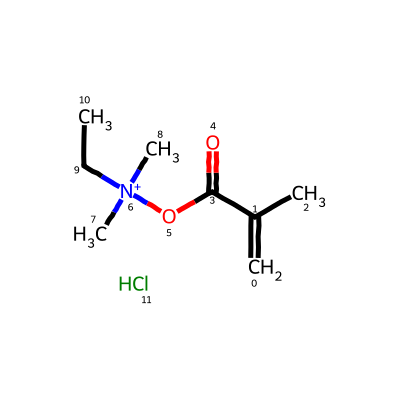 C=C(C)C(=O)O[N+](C)(C)CC.Cl